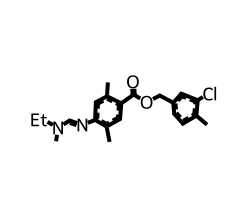 CCN(C)/C=N/c1cc(C)c(C(=O)OCc2ccc(C)c(Cl)c2)cc1C